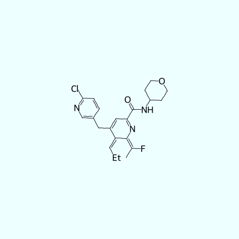 CC/C=c1/c(Cc2ccc(Cl)nc2)cc(C(=O)NC2CCOCC2)n/c1=C(/C)F